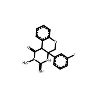 CN1C(=N)NC2(c3cccc(F)c3)COc3ccccc3C2C1=O